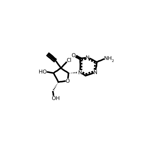 C#CC1(Cl)C(O)[C@@H](CO)O[C@H]1n1cnc(N)nc1=O